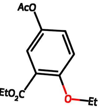 CCOC(=O)c1cc(OC(C)=O)ccc1OCC